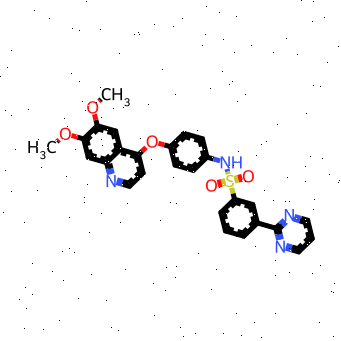 COc1cc2nccc(Oc3ccc(NS(=O)(=O)c4cccc(-c5ncccn5)c4)cc3)c2cc1OC